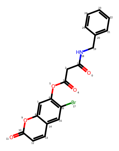 O=C(CC(=O)Oc1cc2oc(=O)ccc2cc1Br)NCc1ccccc1